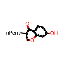 CCCCCc1coc2cc(O)ccc2c1=O